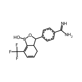 N=C(N)c1ccc(C2OB(O)C3=C(C(F)(F)F)C=CCC32)cc1